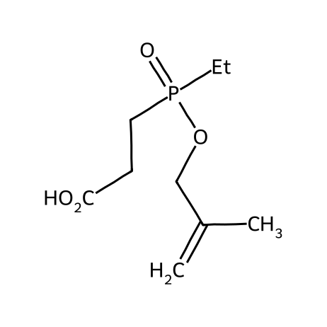 C=C(C)COP(=O)(CC)CCC(=O)O